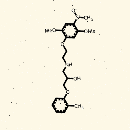 COc1cc([S+](C)[O-])c(OC)cc1OCCNCC(O)COc1ccccc1C